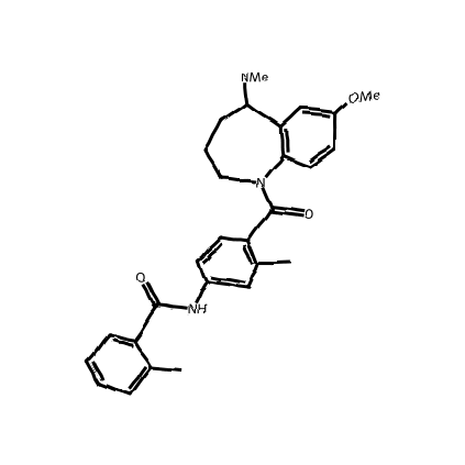 CNC1CCCN(C(=O)c2ccc(NC(=O)c3ccccc3C)cc2C)c2ccc(OC)cc21